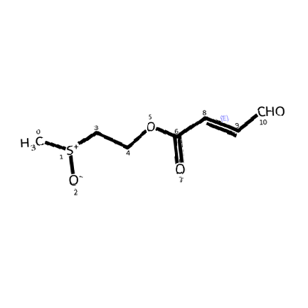 C[S+]([O-])CCOC(=O)/C=C/C=O